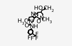 C=CC(O)C1CN(C)C(=O)c2c3c(nn2C1)C[C@@H](C)N(C(=O)Nc1ccc(F)c(C(F)(F)F)c1)C3